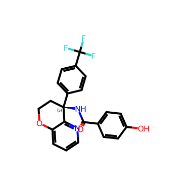 O=C(N[C@]1(c2ccc(C(F)(F)F)cc2)CCOc2cccnc21)c1ccc(O)cc1